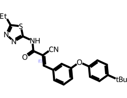 CCc1nnc(NC(=O)/C(C#N)=C/c2cccc(Oc3ccc(C(C)(C)C)cc3)c2)s1